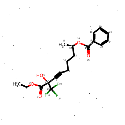 CCOC(=O)[C@](O)(C#CCCC[C@@H](C)OC(=O)c1ccccc1)C(F)(F)F